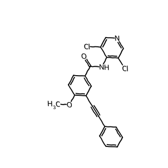 COc1ccc(C(=O)Nc2c(Cl)cncc2Cl)cc1C#Cc1ccccc1